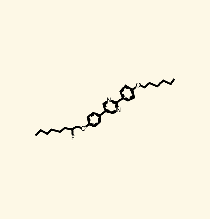 CCCCCCOc1ccc(-c2ncc(-c3ccc(OCC(F)CCCCCC)cc3)cn2)cc1